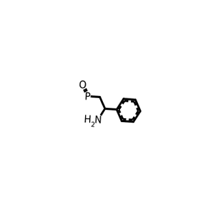 NC(CP=O)c1ccccc1